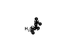 CC1(C)c2cc3c(cc2-c2c1ccc1ccccc21)c1ccccc1n3-c1ccc2nc(-c3ccccc3)nc(-c3ccccc3)c2c1